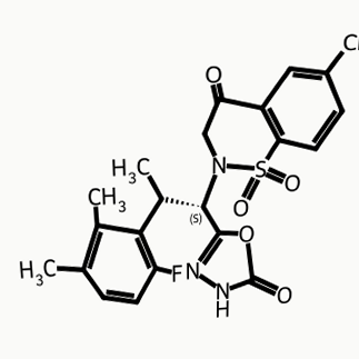 Cc1ccc(F)c(C(C)[C@@H](c2n[nH]c(=O)o2)N2CC(=O)c3cc(Cl)ccc3S2(=O)=O)c1C